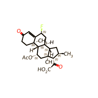 CC(=O)O[C@H]1C[C@@]2(C)[C@@H](C[C@@H](C)[C@@H]2C(=O)C(=O)O)[C@@H]2C[C@H](F)C3=CC(=O)CC[C@]3(C)[C@H]21